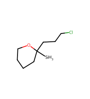 [SiH3]C1(CCCCl)CCCCO1